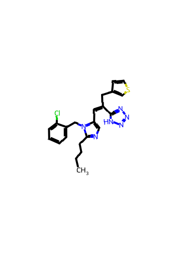 CCCCc1ncc(C=C(Cc2ccsc2)c2nnn[nH]2)n1Cc1ccccc1Cl